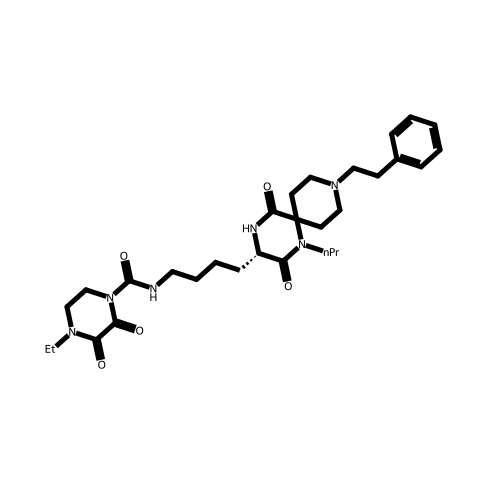 CCCN1C(=O)[C@H](CCCCNC(=O)N2CCN(CC)C(=O)C2=O)NC(=O)C12CCN(CCc1ccccc1)CC2